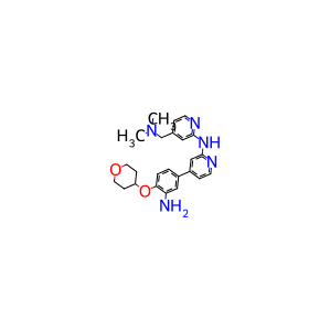 CN(C)Cc1ccnc(Nc2cc(-c3ccc(OC4CCOCC4)c(N)c3)ccn2)c1